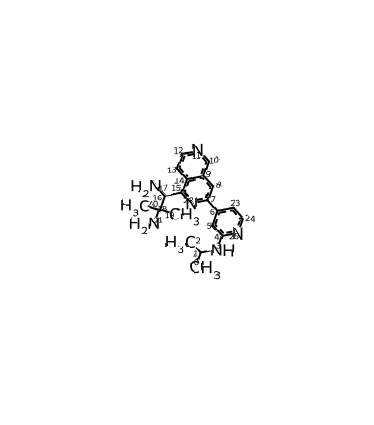 CC(C)Nc1cc(-c2cc3cnccc3c(C(N)C(C)(C)N)n2)ccn1